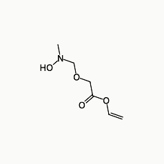 C=COC(=O)COCN(C)O